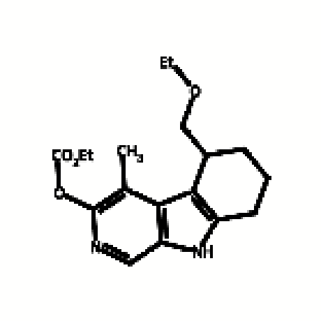 CCOCC1CCCc2[nH]c3cnc(OC(=O)OCC)c(C)c3c21